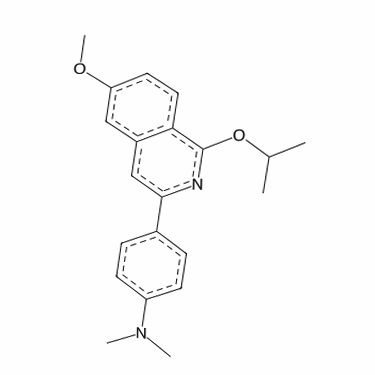 COc1ccc2c(OC(C)C)nc(-c3ccc(N(C)C)cc3)cc2c1